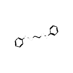 c1ccc(SOCCOSc2ccccc2)cc1